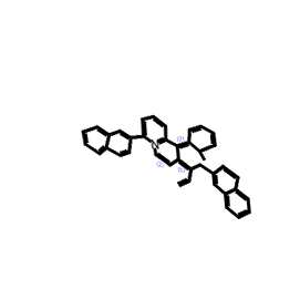 C=C/C(Cc1ccc2ccccc2c1)=C(\C=C/C)C(=C1/C=CC=CC1C)/c1cccc(-c2ccc3ccccc3c2)n1